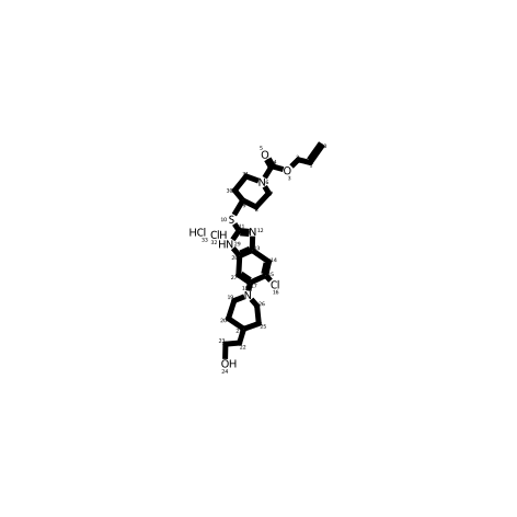 C=CCOC(=O)N1CCC(Sc2nc3cc(Cl)c(N4CCC(CCO)CC4)cc3[nH]2)CC1.Cl.Cl